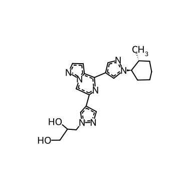 C[C@@H]1CCCC[C@H]1n1cc(-c2nc(-c3cnn(CC(O)CO)c3)cn3nccc23)cn1